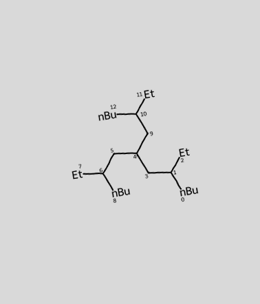 CCCCC(CC)C[C](CC(CC)CCCC)CC(CC)CCCC